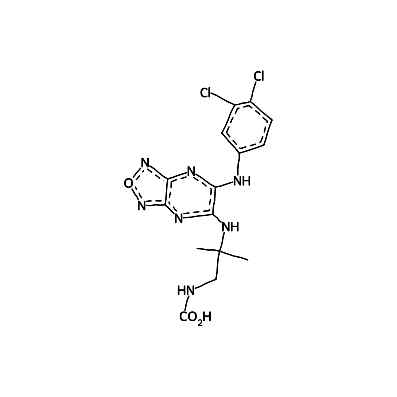 CC(C)(CNC(=O)O)Nc1nc2nonc2nc1Nc1ccc(Cl)c(Cl)c1